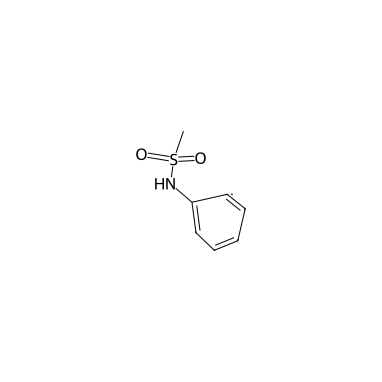 CS(=O)(=O)Nc1[c]cccc1